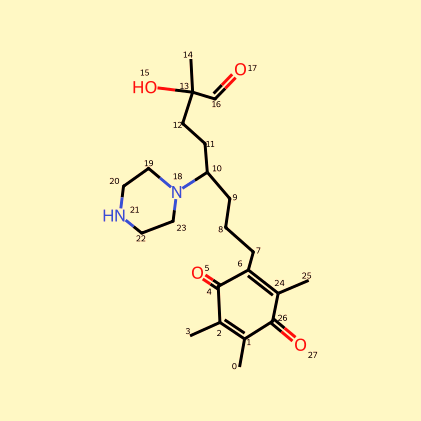 CC1=C(C)C(=O)C(CCCC(CCC(C)(O)C=O)N2CCNCC2)=C(C)C1=O